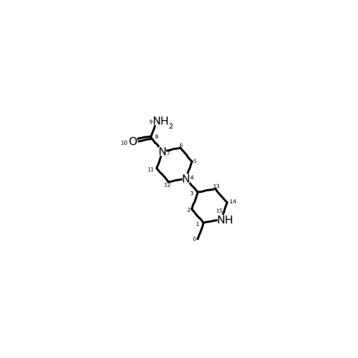 CC1CC(N2CCN(C(N)=O)CC2)CCN1